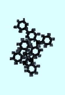 c1ccc(-c2ccc(N(c3ccccc3)c3ccc4c(c3)C3(c5ccccc5-c5ccccc53)c3nc5ccccc5n3-4)cc2)cc1